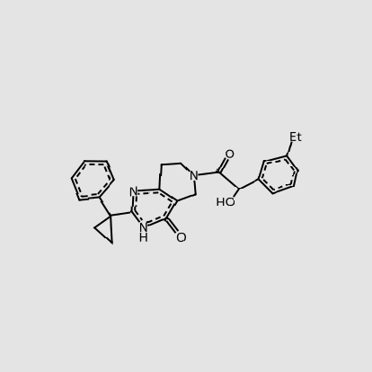 CCc1cccc(C(O)C(=O)N2CCc3nc(C4(c5ccccc5)CC4)[nH]c(=O)c3C2)c1